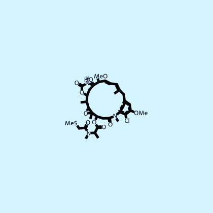 COc1cc2cc(c1Cl)N(C)C(=O)CC(OC(=O)C(C)N(C)C(=O)CSC)C1(C)OC1C(C)C1CC(O)(NC(=O)O1)C(OC)/C=C/C=C(\C)C2